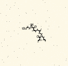 C=CCN(CCC(C)C/C=C\C(=O)N(CC)CCC(C)(C)C)C(=O)C=C